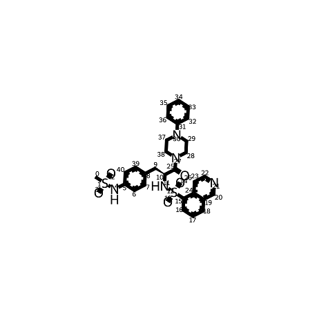 CS(=O)(=O)Nc1ccc(C[C@H](NS(=O)(=O)c2cccc3cnccc23)C(=O)N2CCN(c3ccccc3)CC2)cc1